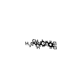 CC(C)CNCC1CCN(Cc2ccc(Cl)c(Cl)c2)CC1